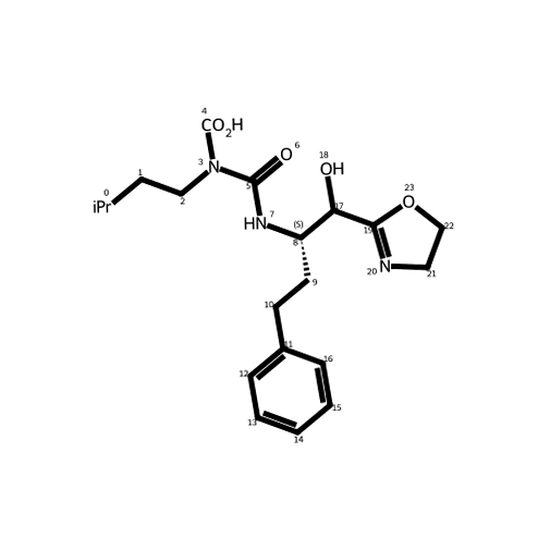 CC(C)CCN(C(=O)O)C(=O)N[C@@H](CCc1ccccc1)C(O)C1=NCCO1